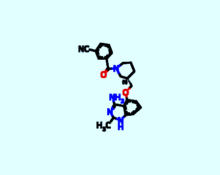 CC1N=C(N)c2c(cccc2OC[C@H]2CCCN(C(=O)c3cccc(C#N)c3)C2)N1